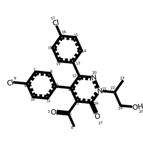 CC(=O)c1c(-c2ccc(Cl)cc2)c(-c2ccc(Cl)cc2)nn(C(C)CO)c1=O